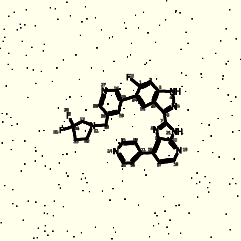 Fc1cc2[nH]nc(-c3nc4c(-c5ccncc5)ccnc4[nH]3)c2cc1-c1cncc(CN2CCC(F)(F)C2)c1